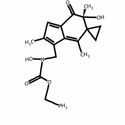 CC1=C(CN(O)C(=O)OCP)C2=C(C)C3(CC3)[C@@](C)(O)C(=O)C2=C1